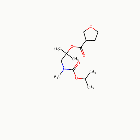 CC(C)OC(=O)N(C)CC(C)(C)OC(=O)C1CCOC1